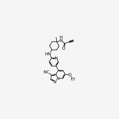 C#CC(=O)NC1(C)CCC(Nc2ccc(-c3cc(OCC)cn4ncc(C#N)c34)cn2)CC1